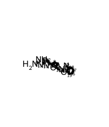 NC(N)=Nc1nc(-c2ccc(CNOc3ccccc3[N+](=O)[O-])o2)cs1